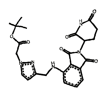 CC(C)(C)OC(=O)Cn1ccc(CNc2cccc3c2C(=O)N(C2CCC(=O)NC2=O)C3=O)n1